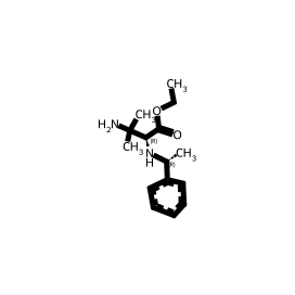 CCOC(=O)[C@H](N[C@H](C)c1ccccc1)C(C)(C)N